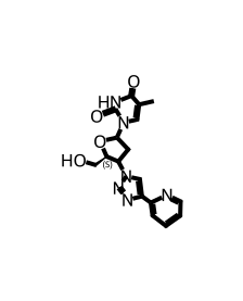 Cc1cn(C2CC(n3cc(-c4ccccn4)nn3)[C@@H](CO)O2)c(=O)[nH]c1=O